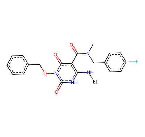 CCNc1[nH]c(=O)n(OCc2ccccc2)c(=O)c1C(=O)N(C)Cc1ccc(F)cc1